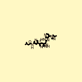 Cc1cn(-c2ccnc3[nH]c(-c4n[nH]c5ncc(-c6cncc(NC(=O)CC(C)C)c6)c(F)c45)nc23)cn1